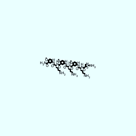 COc1ccc(NC(=O)[C@H](CCCCN)NC(=O)c2cc(NC(=O)[C@H](CCCCN)NC(=O)c3cc(NC(=O)[C@H](CCCCN)NC(=O)c4cnc(N)s4)ccc3OC)ccc2OC)cc1C(N)=O